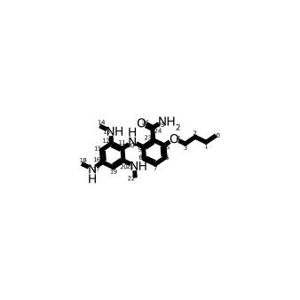 CCCCOc1cccc(Nc2c(NC)cc(NC)cc2NC)c1C(N)=O